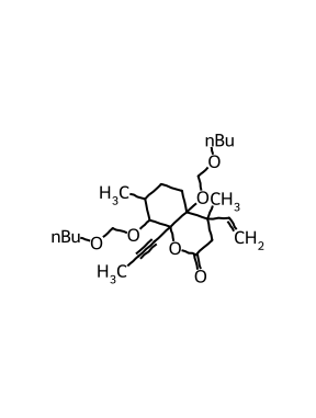 C=CC1(C)CC(=O)OC2(C#CC)C(OCOCCCC)C(C)CCC12OCOCCCC